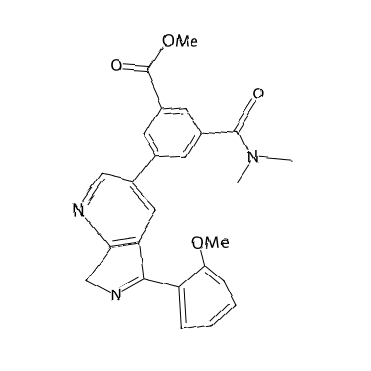 COC(=O)c1cc(C(=O)N(C)C)cc(-c2cnc3c(c2)C(c2ccccc2OC)=NC3)c1